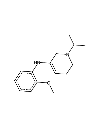 COc1ccccc1NC1=CCCN(C(C)C)C1